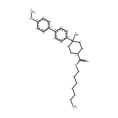 CCCCCCCOC(=O)C1CCC(O)(c2ccc(-c3ccc(OC)cc3)cc2)CC1